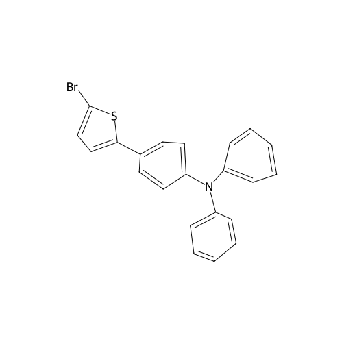 Brc1ccc(-c2ccc(N(c3ccccc3)c3ccccc3)cc2)s1